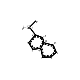 C[SiH](C)c1ccc2ccccc2c1